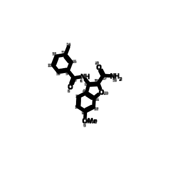 COc1ccc2c(NC(=O)c3cccc(C)c3)c(C(N)=O)oc2c1